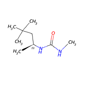 CNC(=O)N[C@@H](C)CC(C)(C)C